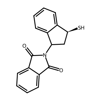 O=C1c2ccccc2C(=O)N1C1C[C@H](S)c2ccccc21